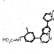 Cc1cc(-c2ncnn3cc(-c4ccn(C)n4)cc23)ccc1CNC(=O)O